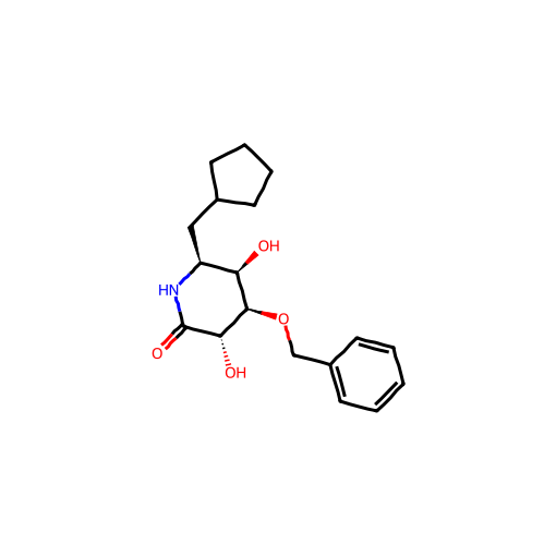 O=C1N[C@@H](CC2CCCC2)[C@@H](O)[C@@H](OCc2ccccc2)[C@@H]1O